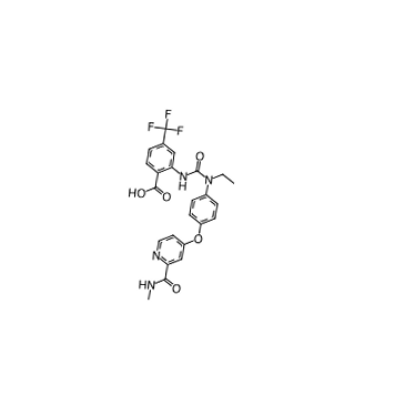 CCN(C(=O)Nc1cc(C(F)(F)F)ccc1C(=O)O)c1ccc(Oc2ccnc(C(=O)NC)c2)cc1